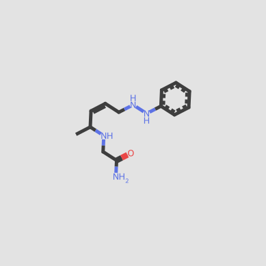 CC(/C=C\CNNc1ccccc1)NCC(N)=O